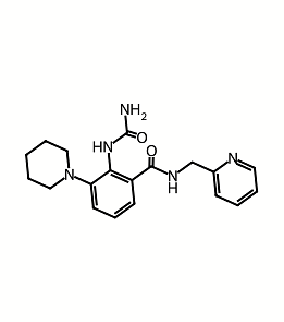 NC(=O)Nc1c(C(=O)NCc2ccccn2)cccc1N1CCCCC1